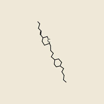 CCCC=CC1CCC(CCCCC2CCC(CCCCC)CC2)CC1